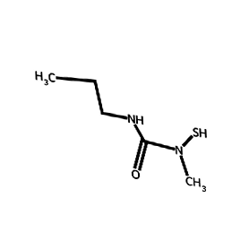 CCCNC(=O)N(C)S